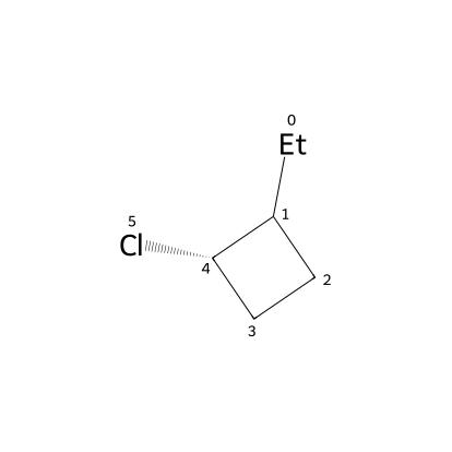 CCC1CC[C@@H]1Cl